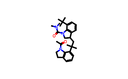 CC(=O)N1CCc2cccc(C(C)(C)CC3CN(C(=O)N(C)C)c4c3cccc4C(C)(C)C)c21